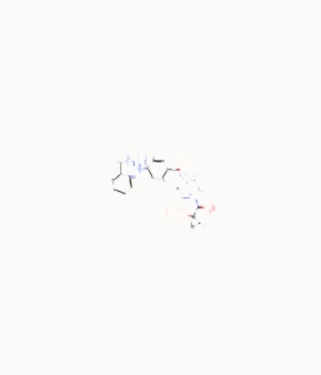 O=C(c1ccc(N2NCc3ccccc32)cc1)N1CCN(C(=O)C2(O)CC2)CC1